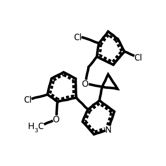 COc1c(Cl)cccc1-c1ccncc1C1(OCc2cc(Cl)ccc2Cl)CC1